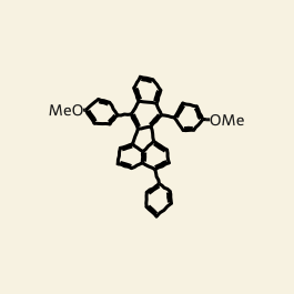 COc1ccc(-c2c3c(c(-c4ccc(OC)cc4)c4ccccc24)-c2ccc(-c4ccccc4)c4cccc-3c24)cc1